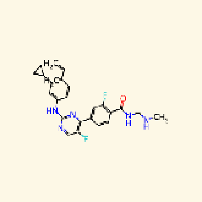 C=CC(=C)/C=C\C(=C/CC1CC1)Nc1ncc(F)c(-c2ccc(C(=O)NCNC)c(F)c2)n1